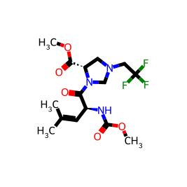 COC(=O)N[C@@H](C=C(C)C)C(=O)N1CN(CC(F)(F)F)C[C@H]1C(=O)OC